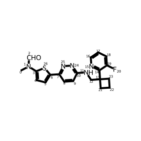 CN(C=O)c1ccc(-c2ccc(NCC3(c4ncccc4F)CCC3)nn2)s1